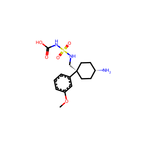 COc1cccc([C@]2(CNS(=O)(=O)NC(=O)O)CC[C@@H](N)CC2)c1